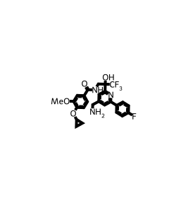 COc1cc(C(=O)NCC(O)(c2cc(CN)cc(-c3ccc(F)cc3)n2)C(F)(F)F)ccc1OC1CC1